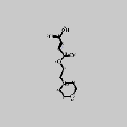 O=C(O)/C=C/C(=O)OCCN1CCOCC1